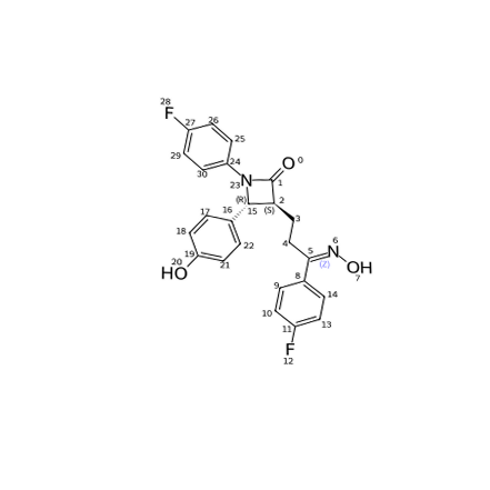 O=C1[C@@H](CC/C(=N/O)c2ccc(F)cc2)[C@H](c2ccc(O)cc2)N1c1ccc(F)cc1